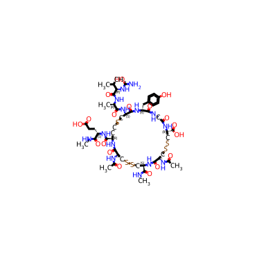 CNC(=O)[C@H](CCC(=O)O)NC(=O)[C@H]1CCSC[C@@H](NC(=O)[C@@H](C)NC(=O)[C@H](NC(N)O)C(C)C)C(=O)N[C@H](Cc2ccc(O)cc2)C(=O)NCC(=O)N[C@H](C(=O)O)CSSC[C@H](NC(C)=O)C(=O)N[C@@H](C(=O)NC)CSSC[C@@H](NC(C)=O)C(=O)N1